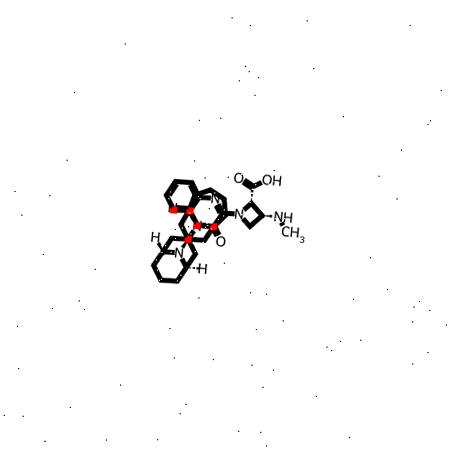 CN[C@@H]1CN(c2nc3ccccc3n(C3C[C@H]4CCC[C@H](C3)N4[C@@H]3CC4CCCC[C@@H](C4)C3)c2=O)[C@@H]1C(=O)O